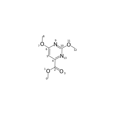 COC(=O)c1cc(OC)nc(OC)n1